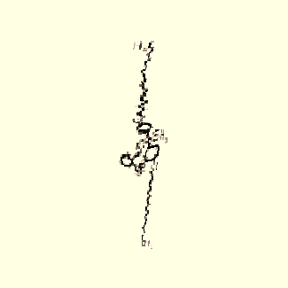 CCCCCCCCCCCCCCCCOc1ccc(C([SiH3])(OCc2ccccc2[N+](=O)[O-])c2ccc(OCCCCCCCCCCCCCCCC)cc2)cc1